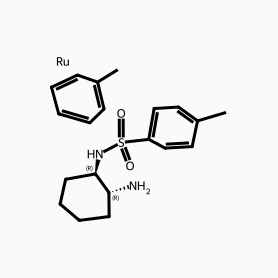 Cc1ccc(S(=O)(=O)N[C@@H]2CCCC[C@H]2N)cc1.Cc1ccccc1.[Ru]